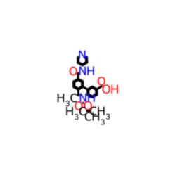 CC(NC(=O)OC(C)(C)C)c1ccc(C(=O)Nc2ccncc2)cc1-c1cccc(C(=O)O)c1